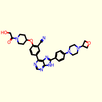 N#Cc1cc(-c2ncnc3[nH]c(-c4ccc(N5CCN(C6COC6)CC5)cc4)nc23)ccc1OC1CCN(C(=O)CO)CC1